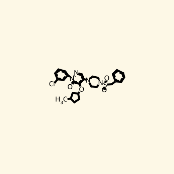 CC1CCC(Oc2c(N3CCN(S(=O)(=O)Cc4ccccc4)CC3)cnn(-c3cccc(Cl)c3)c2=O)C1